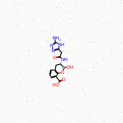 Nc1nnc(CC(=O)N[C@H]2Cc3cccc(C(=O)O)c3OB2O)[nH]1